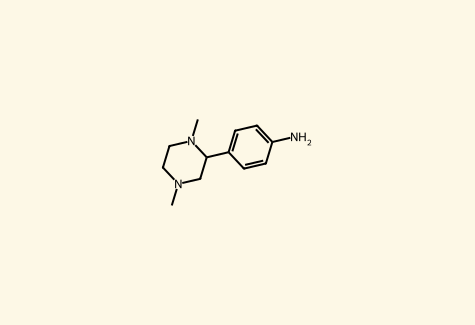 CN1CCN(C)C(c2ccc(N)cc2)C1